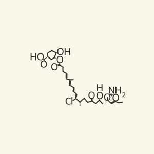 CC/C=C/[C@H](C[C@H](O)CC(=O)CC[C@H](C)/C(Cl)=C/C=C/C=C(C)/C=C/CCC(=O)O[C@@H]1C[C@@H](C(=O)O)CC[C@@H]1O)OC(N)=O